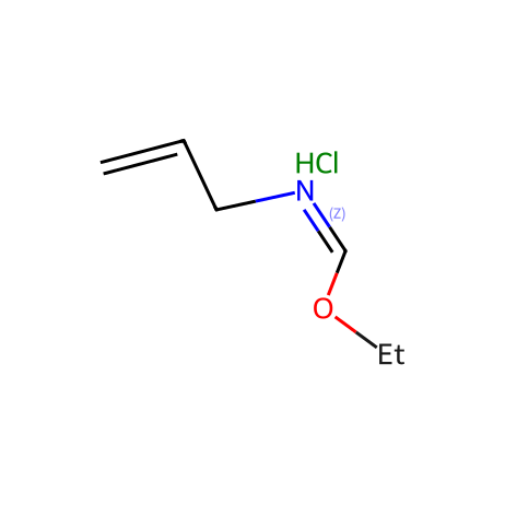 C=CC/N=C\OCC.Cl